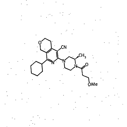 COCCC(=O)N1CCN(c2nc(C3CCCCC3)c3c(c2C#N)CCOC3)C[C@H]1C